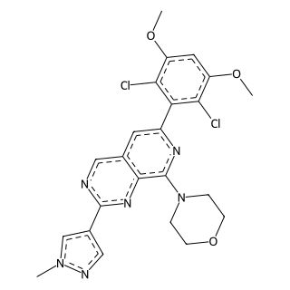 COc1cc(OC)c(Cl)c(-c2cc3cnc(-c4cnn(C)c4)nc3c(N3CCOCC3)n2)c1Cl